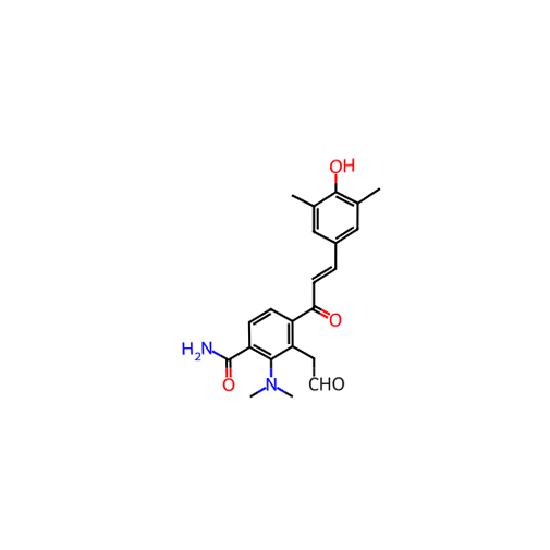 Cc1cc(C=CC(=O)c2ccc(C(N)=O)c(N(C)C)c2CC=O)cc(C)c1O